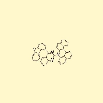 c1ccc2c3c(ccc2c1)N(c1nc(-c2cccc4sc5ccccc5c24)c2ccccc2n1)c1cccc2cccc-3c12